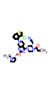 C=CC(=O)N1CCN(c2nc(OC[C@@H]3CCCN3C)nc3c2CCN(c2cccc4scc(Cl)c24)C3)C[C@@H]1CC#N